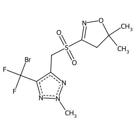 Cn1nc(CS(=O)(=O)C2=NOC(C)(C)C2)c(C(F)(F)Br)n1